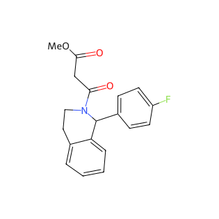 COC(=O)CC(=O)N1CCc2ccccc2C1c1ccc(F)cc1